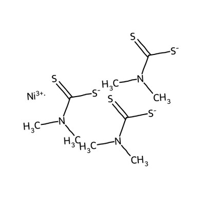 CN(C)C(=S)[S-].CN(C)C(=S)[S-].CN(C)C(=S)[S-].[Ni+3]